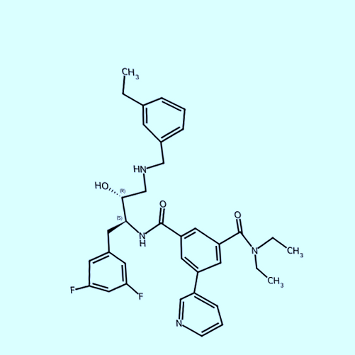 CCc1cccc(CNC[C@@H](O)[C@H](Cc2cc(F)cc(F)c2)NC(=O)c2cc(C(=O)N(CC)CC)cc(-c3cccnc3)c2)c1